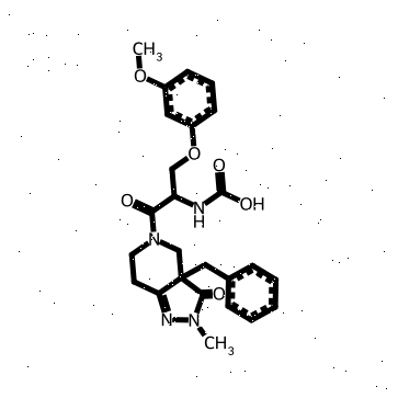 COc1cccc(OCC(NC(=O)O)C(=O)N2CCC3=NN(C)C(=O)C3(Cc3ccccc3)C2)c1